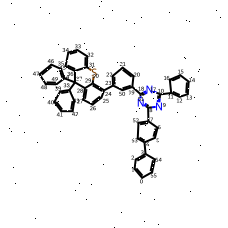 c1ccc(-c2ccc(-c3nc(-c4ccccc4)nc(-c4cccc(-c5cccc6c5Sc5ccccc5C6(c5ccccc5)c5ccccc5)c4)n3)cc2)cc1